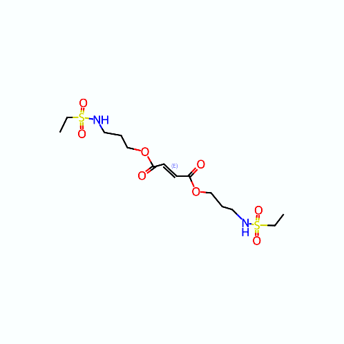 CCS(=O)(=O)NCCCOC(=O)/C=C/C(=O)OCCCNS(=O)(=O)CC